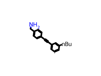 CCCCc1c[c]cc(C#Cc2ccc(CN)cc2)c1